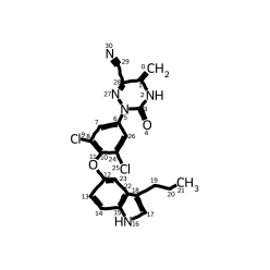 C=C1NC(=O)N(c2cc(Cl)c(Oc3ccc4[nH]cc(CCC)c4c3)c(Cl)c2)N=C1C#N